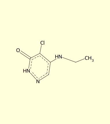 CCNc1cn[nH]c(=O)c1Cl